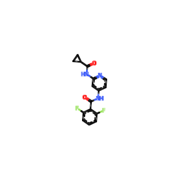 O=C(Nc1ccnc(NC(=O)C2CC2)c1)c1c(F)cccc1F